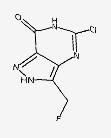 O=c1[nH]c(Cl)nc2c(CF)[nH]nc12